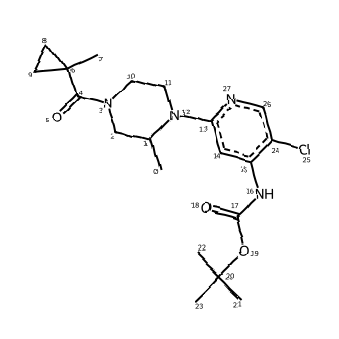 CC1CN(C(=O)C2(C)CC2)CCN1c1cc(NC(=O)OC(C)(C)C)c(Cl)cn1